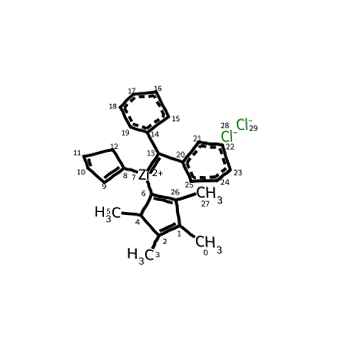 CC1=C(C)C(C)[C]([Zr+2]([C]2=CC=CC2)=[C](c2ccccc2)c2ccccc2)=C1C.[Cl-].[Cl-]